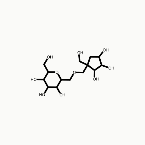 OCC1OC(COCC2(CO)CC(O)C(O)C2O)C(O)C(O)C1O